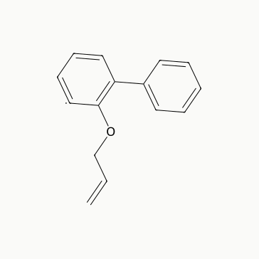 C=CCOc1[c]cccc1-c1ccccc1